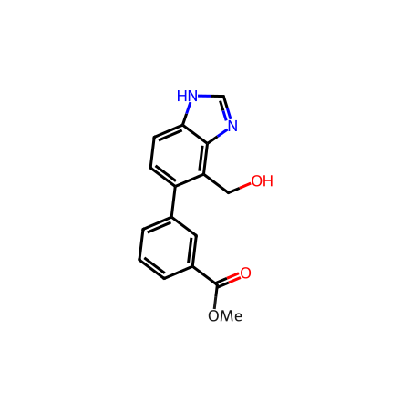 COC(=O)c1cccc(-c2ccc3[nH]cnc3c2CO)c1